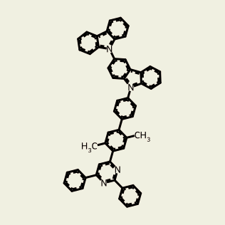 Cc1cc(-c2cc(-c3ccccc3)nc(-c3ccccc3)n2)c(C)cc1-c1ccc(-n2c3ccccc3c3cc(-n4c5ccccc5c5ccccc54)ccc32)cc1